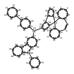 C1=Cc2ccccc2C2(c3ccccc31)c1ccccc1-c1cc(N(c3ccc(-c4ccccc4)cc3)c3ccc4c(c3)c3ccccc3n4-c3ccccc3)ccc12